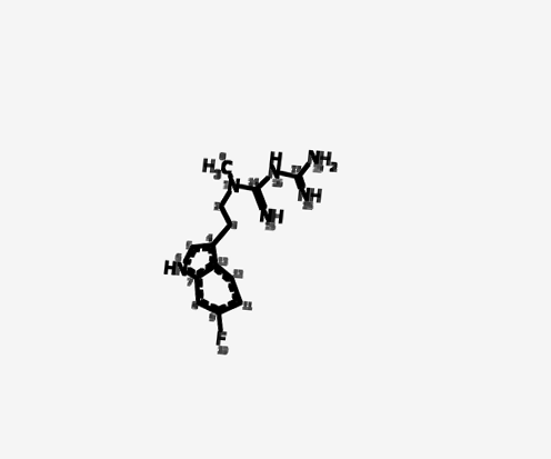 CN(CCc1c[nH]c2cc(F)ccc12)C(=N)NC(=N)N